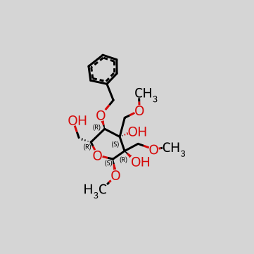 COC[C@]1(O)[C@@H](OC)O[C@H](CO)[C@@H](OCc2ccccc2)[C@@]1(O)COC